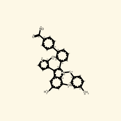 COc1cc(P)cc2c(-c3ccsc3C#N)c(-c3cccc(-c4ccc(C(=O)N=O)cc4)c3)n(Sc3ccc(C)cc3)c12